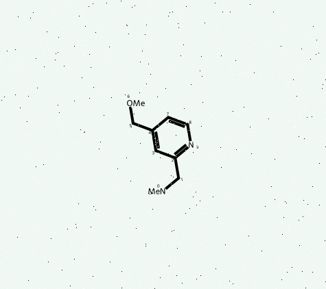 CNCc1cc(COC)ccn1